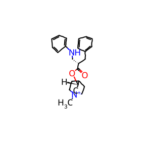 C[N+]12CCC(CC1)[C@@H](OC(=O)[C@H](CNc1ccccc1)Cc1ccccc1)C2